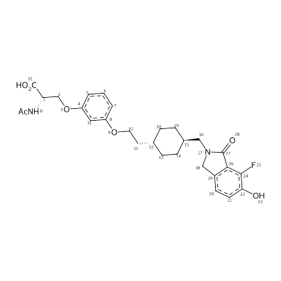 CC(=O)N[C@@H](COc1cccc(OCC[C@H]2CC[C@H](CN3Cc4ccc(O)c(F)c4C3=O)CC2)c1)C(=O)O